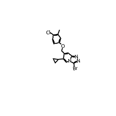 Cc1cc(OCc2cc3nnc(Br)n3cc2C2CC2)ccc1Cl